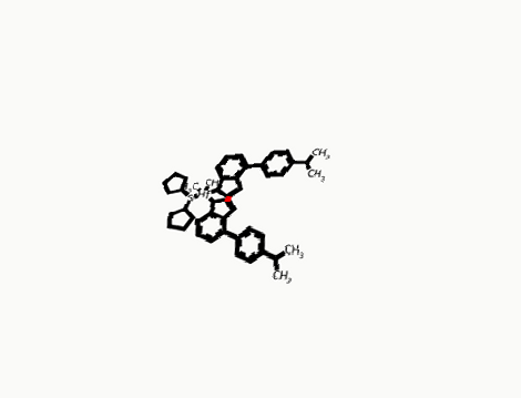 CC(C)c1ccc(-c2cccc3c2C=C[CH]3[Hf]([CH3])([CH3])([CH]2C=Cc3c(-c4ccc(C(C)C)cc4)cccc32)=[Si](C2CCCC2)C2CCCC2)cc1